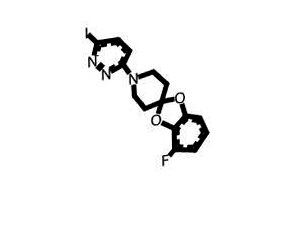 Fc1cccc2c1OC1(CCN(c3ccc(I)nn3)CC1)O2